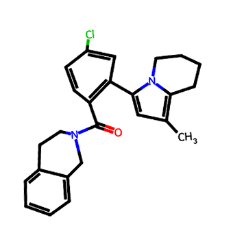 Cc1cc(-c2cc(Cl)ccc2C(=O)N2CCc3ccccc3C2)n2c1CCCC2